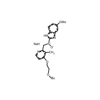 CCC(C)OCCOc1ccnc(C[S+]([O-])c2nc3cc(OC)ccc3[nH]2)c1C.[NaH]